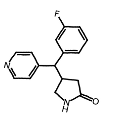 O=C1CC(C(c2ccncc2)c2cccc(F)c2)CN1